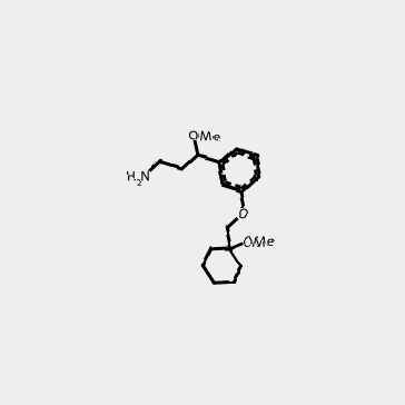 COC(CCN)c1cccc(OCC2(OC)CCCCC2)c1